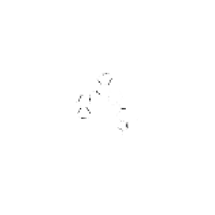 Cc1cc(C)n(CC(=O)N2CCN(c3ccccc3C(=O)Nc3cnc4ccccc4c3)CC2)n1